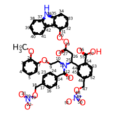 COc1ccccc1OCCN(C(=O)c1ccc(CO[N+](=O)[O-])cc1)C(CC(=O)OOc1cccc2[nH]c3ccccc3c12)c1cc(CO[N+](=O)[O-])ccc1C(=O)O